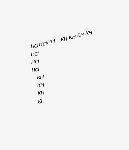 Cl.Cl.Cl.Cl.Cl.Cl.[KH].[KH].[KH].[KH].[KH].[KH].[KH].[KH]